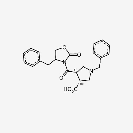 O=C(O)[C@H]1CN(Cc2ccccc2)C[C@@H]1C(=O)N1C(=O)OCC1Cc1ccccc1